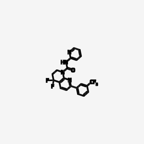 O=C(Nc1ccccn1)N1CCC(F)(F)c2ccc(-c3cccc(C(F)(F)F)c3)nc21